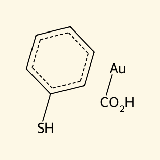 O=[C](O)[Au].Sc1ccccc1